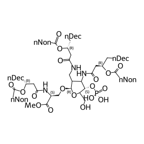 CCCCCCCCCCC[C@H](CC(=O)NCC1C(NC(=O)C[C@@H](CCCCCCCCCCC)OC(=O)CCCCCCCCC)[C@H](OP(=O)(O)O)C(CO)O[C@H]1OC[C@H](NC(=O)C[C@@H](CCCCCCCCCC)OC(=O)CCCCCCCCC)C(=O)OC)OC(=O)CCCCCCCCC